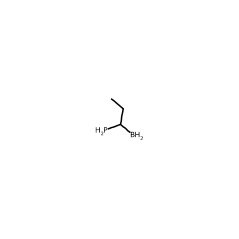 BC(P)CC